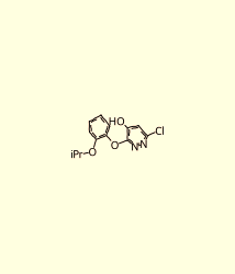 CC(C)Oc1ccccc1Oc1nnc(Cl)cc1O